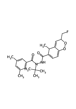 Cc1cc(C)cc(C(=O)N(NC(=O)C2=CC=C3OOC(CF)C=C3C2C)C(C)(C)C)c1